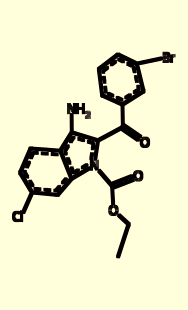 CCOC(=O)n1c(C(=O)c2cccc(Br)c2)c(N)c2ccc(Cl)cc21